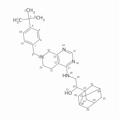 CC(C)(C)c1ccc(CN2CCc3c(ncnc3NCC(O)C34CC5CC(CC(C5)C3)C4)C2)cc1